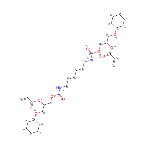 C=CC(=O)OC(COC(=O)NCCCCCCNC(=O)OCC(COC1CCCCC1)OC(=O)C=C)COC1CCCCC1